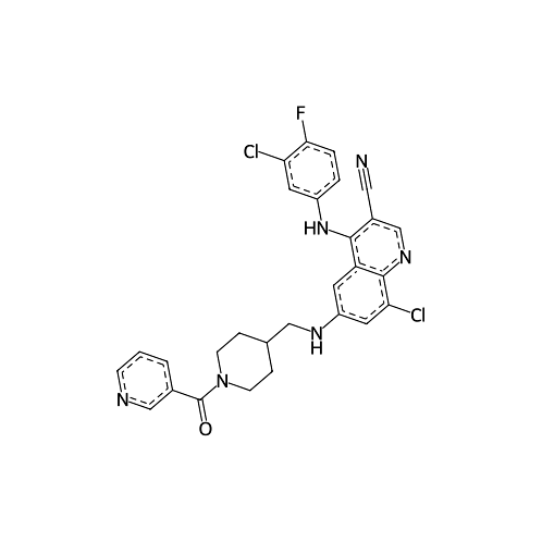 N#Cc1cnc2c(Cl)cc(NCC3CCN(C(=O)c4cccnc4)CC3)cc2c1Nc1ccc(F)c(Cl)c1